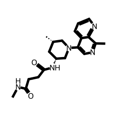 CNC(=O)CCC(=O)N[C@@H]1C[C@H](C)CN(c2cnc(C)c3ncccc23)C1